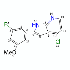 COc1cc(F)cc(-c2cc3c(Cl)ccnc3[nH]2)c1